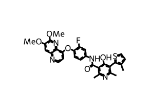 COc1cc2nccc(Oc3ccc(NC(=O)c4c(C)nc(C)c(-c5sccc5C)c4O)cc3F)c2nc1OC